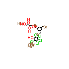 Br.Br.Br.Br.BrCc1cc(CBr)cc(CBr)c1.OCC(O)C(O)CO.Oc1c(Cl)c(Cl)c(Cl)c(Cl)c1Cl